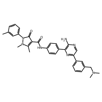 Cc1cccc(-n2c(=O)c(C(=O)Nc3ccc(-c4nc(-c5cccc(CN(C)C)c5)cnc4N)cc3)c(C)n2C)c1